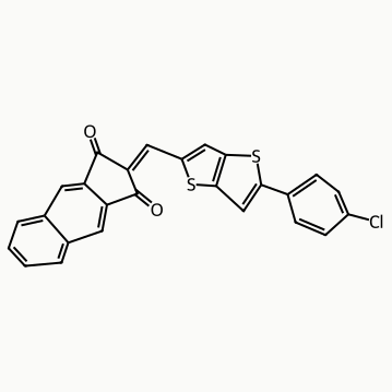 O=C1C(=Cc2cc3sc(-c4ccc(Cl)cc4)cc3s2)C(=O)c2cc3ccccc3cc21